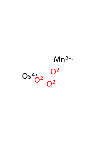 [Mn+2].[O-2].[O-2].[O-2].[Os+4]